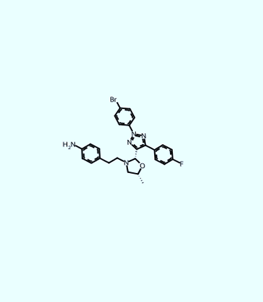 C[C@@H]1CN(CCc2ccc(N)cc2)[C@H](c2nn(-c3ccc(Br)cc3)nc2-c2ccc(F)cc2)O1